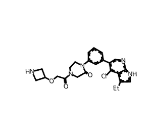 CCc1c[nH]c2ncc(-c3cccc(N4CCN(C(=O)COC5CNC5)CC4=O)c3)c(Cl)c12